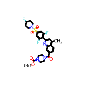 Cc1cc(-c2c(F)cc(S(=O)(=O)N3CCC(F)CC3)cc2F)nc2cc(C(=O)N3CCN(C(=O)OC(C)(C)C)CC3)ccc12